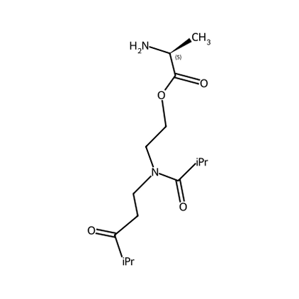 CC(C)C(=O)CCN(CCOC(=O)[C@H](C)N)C(=O)C(C)C